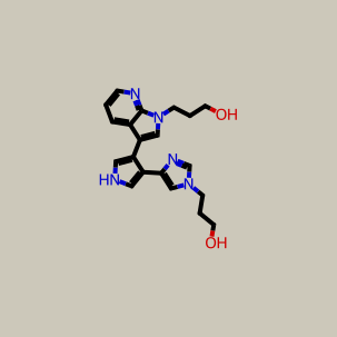 OCCCn1cnc(-c2c[nH]cc2-c2cn(CCCO)c3ncccc23)c1